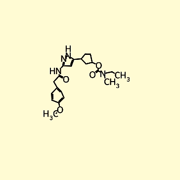 CCN(C)C(=O)OC1CCC(c2cc(NC(=O)Cc3ccc(OC)cc3)n[nH]2)C1